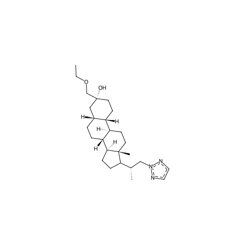 CCOC[C@@]1(O)CC[C@H]2[C@H](CC[C@@H]3[C@@H]2CC[C@]2(C)C([C@@H](C)Cn4nccn4)CC[C@@H]32)C1